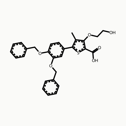 Cc1c(-c2ccc(OCc3ccccc3)c(OCc3ccccc3)c2)sc(C(=O)O)c1OCCO